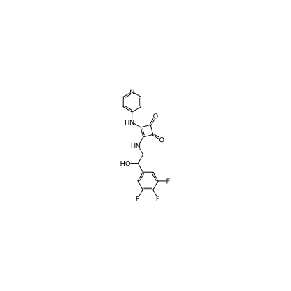 O=c1c(NCC(O)c2cc(F)c(F)c(F)c2)c(Nc2ccncc2)c1=O